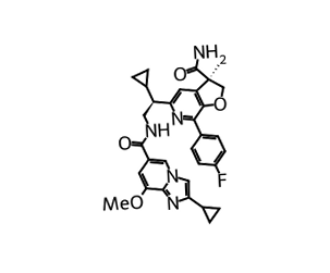 COc1cc(C(=O)NC[C@H](c2cc3c(c(-c4ccc(F)cc4)n2)OC[C@]3(C)C(N)=O)C2CC2)cn2cc(C3CC3)nc12